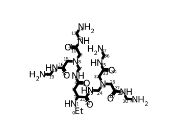 CCNC(CC(=O)NCN(CC(=O)NCN)CC(=O)NCN)C(=O)NCN(CC(=O)NCN)CC(=O)NCN